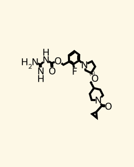 N=C(N)NC(=O)OCc1cccc(N2CC[C@H](OCC3CCN(C(=O)C4CC4)CC3)C2)c1F